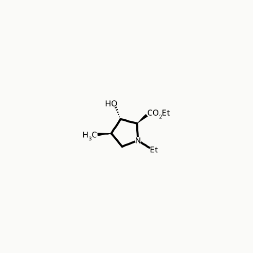 CCOC(=O)[C@@H]1[C@@H](O)[C@H](C)CN1CC